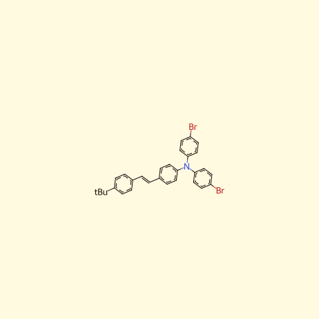 CC(C)(C)c1ccc(C=Cc2ccc(N(c3ccc(Br)cc3)c3ccc(Br)cc3)cc2)cc1